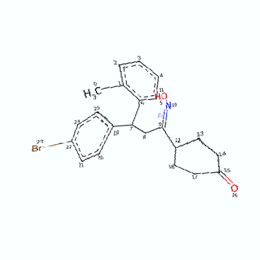 Cc1ccccc1C(C/C(=N\O)C1CCC(=O)CC1)c1ccc(Br)cc1